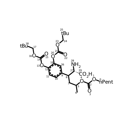 CCCCCOC(=O)OC(C)CC(c1ccc(OC(=O)OCC(C)(C)C)c(OC(=O)OCC(C)(C)C)c1)[C@H](N)C(=O)O